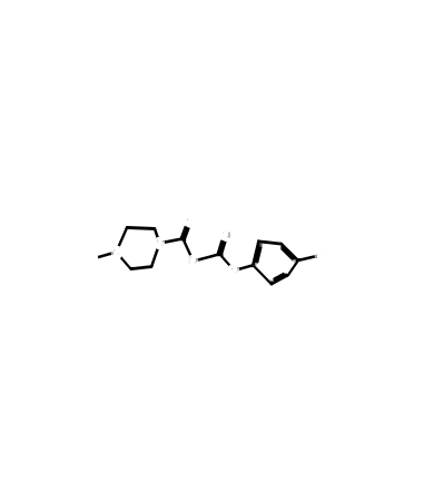 CN1CCN(C(=N)NC(=N)Nc2ccc(Br)cc2)CC1